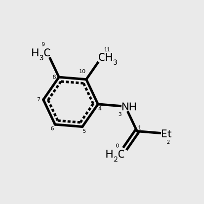 C=C(CC)Nc1cccc(C)c1C